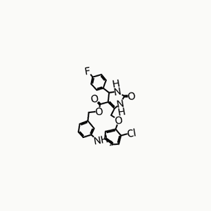 Nc1cccc(COC(=O)C2=C(COc3ccccc3Cl)NC(=O)NC2c2ccc(F)cc2)c1